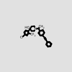 C=C(c1ccc(C#Cc2ccccc2)cc1)N1CCC(O)(c2ccc(Cl)cc2C(F)(F)F)CC1